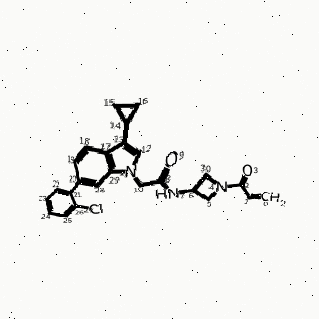 C=CC(=O)N1CC(NC(=O)Cn2cc(C3CC3)c3ccc(-c4ccccc4Cl)cc32)C1